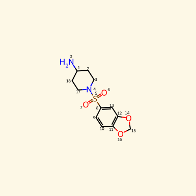 NC1CCN(S(=O)(=O)c2ccc3c(c2)OCO3)CC1